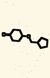 O=C1CCC(OCC2CCCC2)CC1